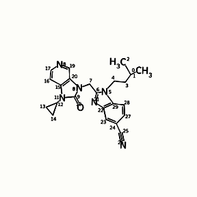 CC(C)CCn1c(Cn2c(=O)n(C3CC3)c3ccncc32)nc2cc(C#N)ccc21